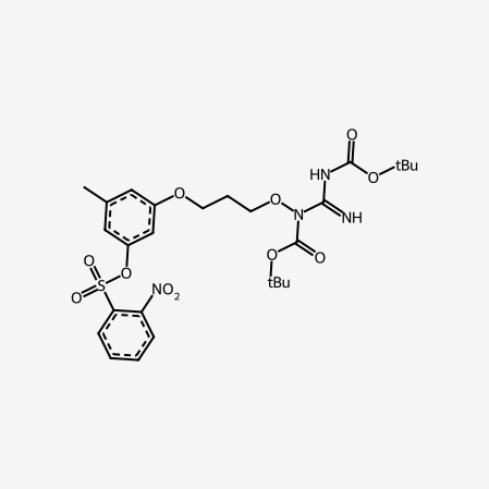 Cc1cc(OCCCON(C(=N)NC(=O)OC(C)(C)C)C(=O)OC(C)(C)C)cc(OS(=O)(=O)c2ccccc2[N+](=O)[O-])c1